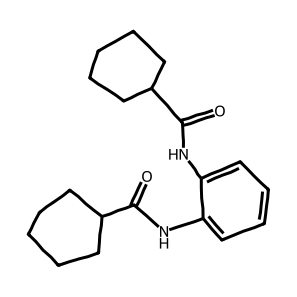 O=C(Nc1ccccc1NC(=O)C1CCCCC1)C1CCCCC1